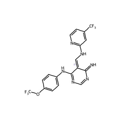 N=C1N=CN=C(Nc2ccc(OC(F)(F)F)cc2)/C1=C/Nc1cc(C(F)(F)F)ccn1